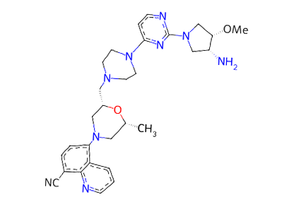 CO[C@H]1CN(c2nccc(N3CCN(C[C@H]4CN(c5ccc(C#N)c6ncccc56)C[C@@H](C)O4)CC3)n2)C[C@H]1N